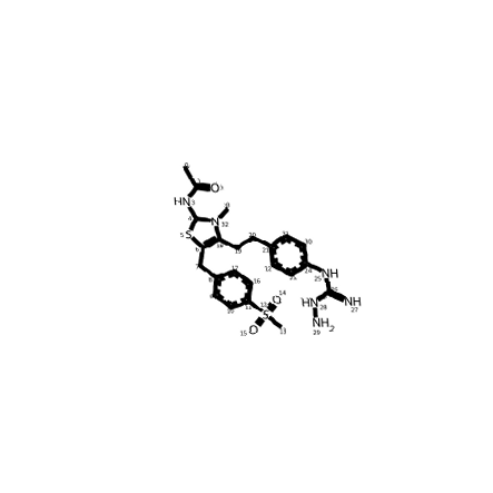 CC(=O)NC1SC(Cc2ccc(S(C)(=O)=O)cc2)=C(CCc2ccc(NC(=N)NN)cc2)N1C